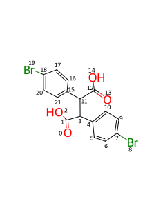 O=C(O)C(c1ccc(Br)cc1)C(C(=O)O)c1ccc(Br)cc1